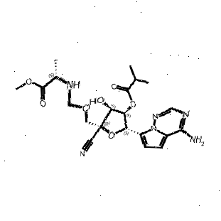 COC(=O)[C@H](C)NCOC[C@@]1(C#N)O[C@@H](c2ccc3c(N)ncnn23)[C@H](OC(=O)C(C)C)[C@@H]1O